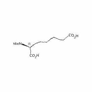 CN[C@@H](CCCCC(=O)O)C(=O)O